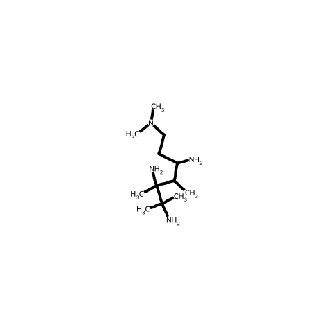 CC(C(N)CCN(C)C)C(C)(N)C(C)(C)N